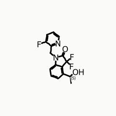 C[C@H](O)c1cccc2c1C(F)(F)C(=O)N2Cc1ncccc1F